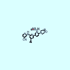 CS(=O)(=O)O.CS(=O)(=O)O.N#Cc1ccnc(Nc2cc(C3CC3)cc(-c3ccc(N4CCS(=O)(=O)CC4)nc3)n2)c1